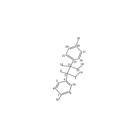 CCC(C)(c1ccc(C)cc1)C(C)(CC)c1ccc(C)cc1